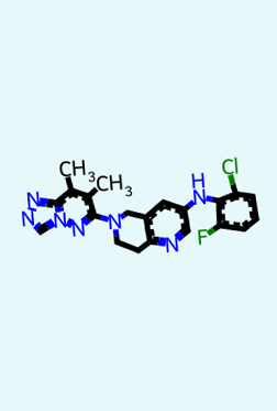 Cc1c(N2CCc3ncc(Nc4c(F)cccc4Cl)cc3C2)nn2cnnc2c1C